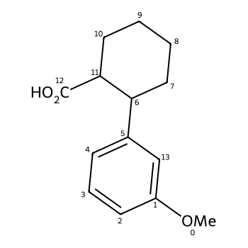 COc1cccc(C2CCCCC2C(=O)O)c1